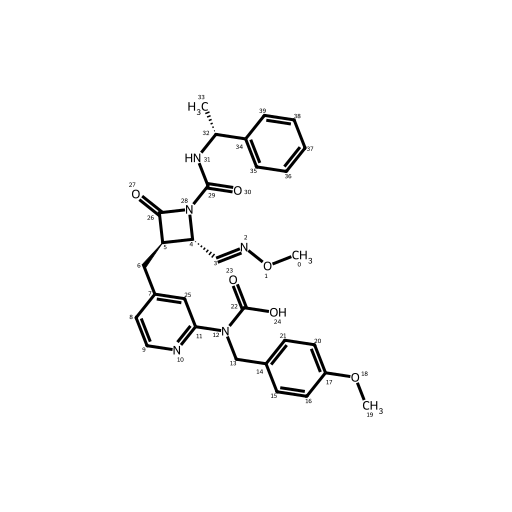 CO/N=C/[C@@H]1[C@@H](Cc2ccnc(N(Cc3ccc(OC)cc3)C(=O)O)c2)C(=O)N1C(=O)N[C@H](C)c1ccccc1